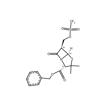 CC1(C)S[C@@H]2[C@H](COS(=O)(=O)C(F)(F)F)C(=O)N2[C@H]1C(=O)OCc1ccccc1